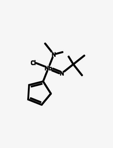 C[N](C)[Nb]([Cl])(=[N]C(C)(C)C)[C]1=CC=CC1